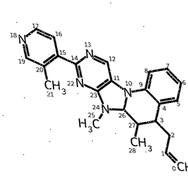 C=CCC1c2ccccc2N2c3cnc(-c4ccncc4C)nc3N(C)C2C1C